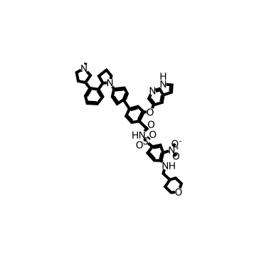 CN1CCC(c2ccccc2C2CCCN2c2ccc(-c3ccc(C(=O)NS(=O)(=O)c4ccc(NCC5CCOCC5)c([N+](=O)[O-])c4)c(Oc4cnc5[nH]ccc5c4)c3)cc2)C1